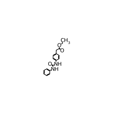 CCOC(=O)Cc1ccc(NC(=O)Nc2ccccc2)cc1